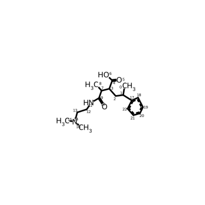 CC(CC(C(=O)O)C(C)C(=O)NCCN(C)C)c1ccccc1